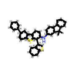 CC1(C)c2ccccc2-c2ccc(Nc3ccc4c(sc5ccc(-c6ccccc6)cc54)c3-c3csc4ccccc34)cc21